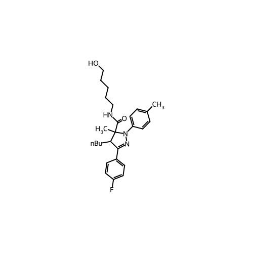 CCCCC1C(c2ccc(F)cc2)=NN(c2ccc(C)cc2)C1(C)C(=O)NCCCCCO